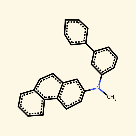 CN(c1cccc(-c2ccccc2)c1)c1ccc2c(ccc3ccccc32)c1